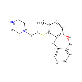 O=C(O)c1ccc2c(c1SCCN1CCNCC1)Cc1ccccc1CO2